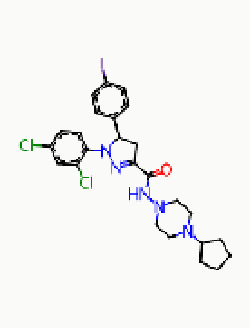 O=C(NN1CCN(C2CCCC2)CC1)C1=NN(c2ccc(Cl)cc2Cl)C(c2ccc(I)cc2)C1